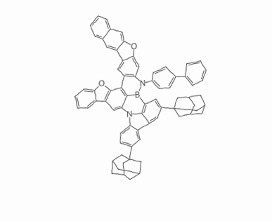 c1ccc(-c2ccc(N3B4c5c(cc6c(oc7ccccc76)c5-c5cc6c(cc53)oc3cc5ccccc5cc36)-n3c5ccc(C67CC8CC(CC(C8)C6)C7)cc5c5cc(C67CC8CC(CC(C8)C6)C7)cc4c53)cc2)cc1